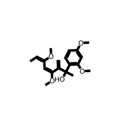 C=C(/C(=C\C(=C/C)OC)OC)C(C)(O)c1ccc(OC)cc1OC